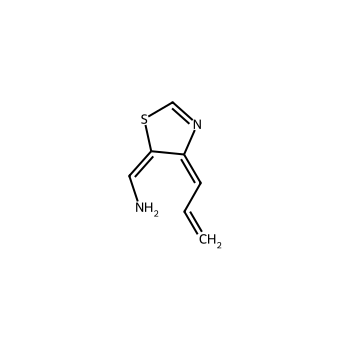 C=C/C=c1/ncs/c1=C/N